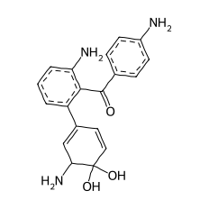 Nc1ccc(C(=O)c2c(N)cccc2C2=CC(N)C(O)(O)C=C2)cc1